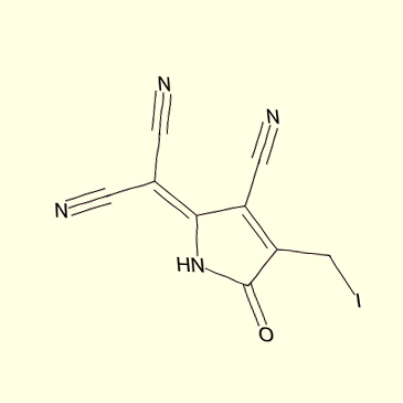 N#CC(C#N)=C1NC(=O)C(CI)=C1C#N